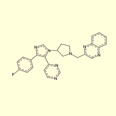 Fc1ccc(-c2ncn(C3CCN(Cc4cnc5ccccc5n4)C3)c2-c2ccncn2)cc1